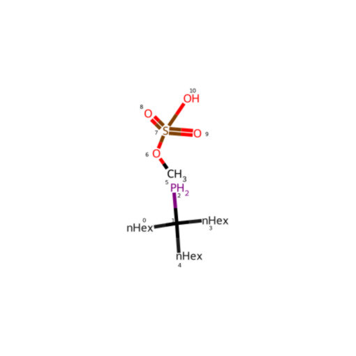 CCCCCCC(P)(CCCCCC)CCCCCC.COS(=O)(=O)O